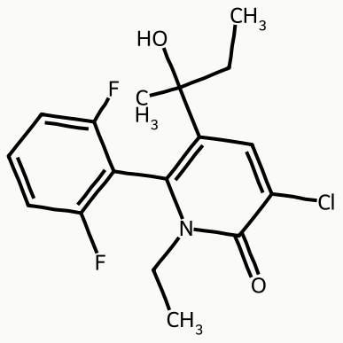 CCn1c(-c2c(F)cccc2F)c(C(C)(O)CC)cc(Cl)c1=O